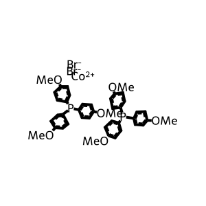 COc1ccc(P(c2ccc(OC)cc2)c2ccc(OC)cc2)cc1.COc1ccc(P(c2ccc(OC)cc2)c2ccc(OC)cc2)cc1.[Br-].[Br-].[Co+2]